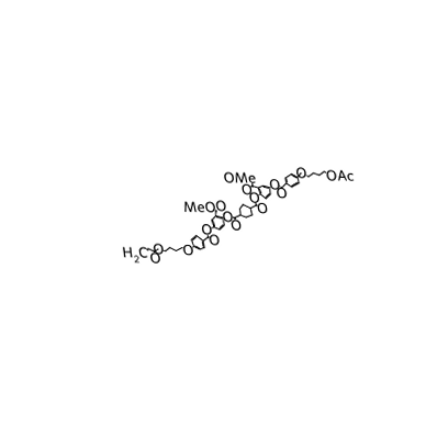 C=CC(=O)OCCCCOc1ccc(C(=O)Oc2ccc(OC(=O)C3CCC(C(=O)Oc4ccc(OC(=O)c5ccc(OCCCCOC(C)=O)cc5)cc4C(=O)OC)CC3)c(C(=O)OC)c2)cc1